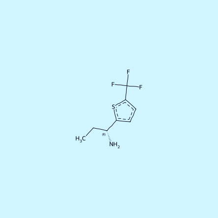 CC[C@@H](N)c1ccc(C(F)(F)F)s1